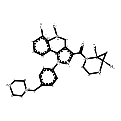 O=C(c1nn(-c2ccc(CN3CCOCC3)cc2)c2c1C[S+]([O-])c1c(F)cccc1-2)N1CCO[C@H]2C[C@H]21